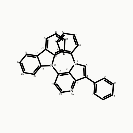 c1ccc(-c2cn(-c3ccccc3)c3c(-n4c5ccccc5c5ccccc54)ccnc23)cc1